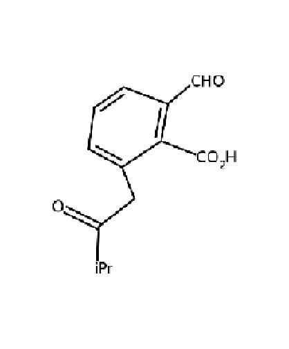 CC(C)C(=O)Cc1cccc(C=O)c1C(=O)O